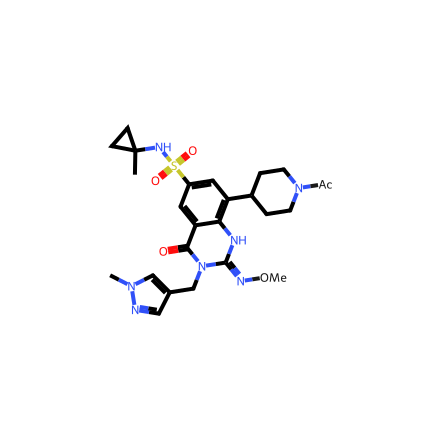 CO/N=c1\[nH]c2c(C3CCN(C(C)=O)CC3)cc(S(=O)(=O)NC3(C)CC3)cc2c(=O)n1Cc1cnn(C)c1